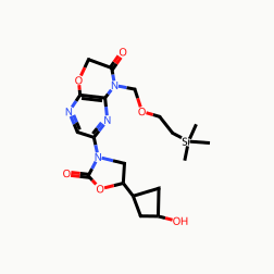 C[Si](C)(C)CCOCN1C(=O)COc2ncc(N3CC(C4CC(O)C4)OC3=O)nc21